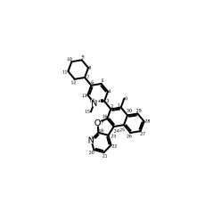 Cc1c(-c2ccc(C3CCCCC3)c[n+]2C)c2oc3ncccc3c2c2ccccc12